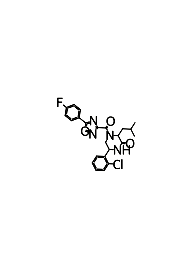 CC(C)CC1C(=O)NC(c2ccccc2Cl)CN1C(=O)c1noc(-c2ccc(F)cc2)n1